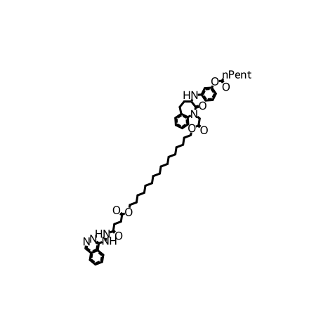 CCCCCC(=O)Oc1cccc(NC2CCc3ccccc3N(CC(=O)OCCCCCCCCCCCCCCCCOC(=O)CCC(=O)NNc3nncc4ccccc34)C2=O)c1